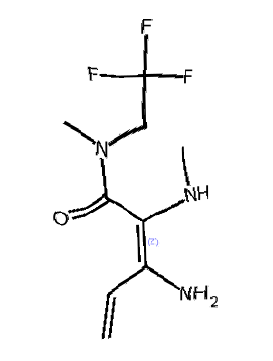 C=C/C(N)=C(/NC)C(=O)N(C)CC(F)(F)F